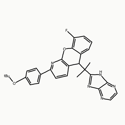 CC(C)(C)Oc1ccc(-c2ccc3c(n2)Oc2c(F)cccc2C3C(C)(C)c2nc3nccnc3[nH]2)cc1